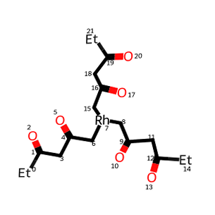 CCC(=O)CC(=O)[CH2][Rh]([CH2]C(=O)CC(=O)CC)[CH2]C(=O)CC(=O)CC